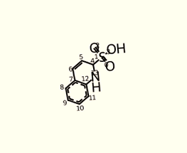 O=S(=O)(O)C1C=Cc2ccccc2N1